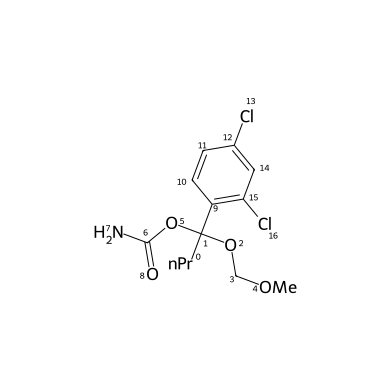 CCCC(OCOC)(OC(N)=O)c1ccc(Cl)cc1Cl